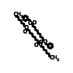 CCCCCCCCOC(=O)CCCCCCCC(=O)OCCCCCCCC.O=C(CCCCCCCCC(=O)OCc1ccccc1)OCc1ccccc1